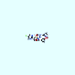 COc1cccc(O)c1-n1c(NS(=O)(=O)[C@@H](C)Cc2ncc(F)cn2)nnc1C1=C=C=CC=N1